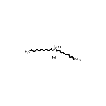 CCCCCCCCCCOP(=O)(O)CCCCCCCCCC.[Nd]